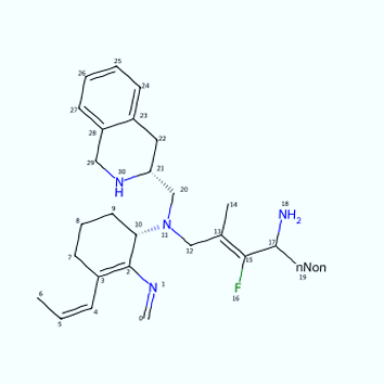 C=NC1=C(/C=C\C)CCC[C@@H]1N(C/C(C)=C(\F)C(N)CCCCCCCCC)C[C@H]1Cc2ccccc2CN1